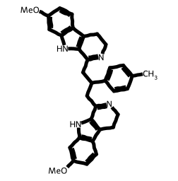 COc1ccc2c3c([nH]c2c1)C(CC(CC1=NCCc2c1[nH]c1cc(OC)ccc21)c1ccc(C)cc1)=NCC3